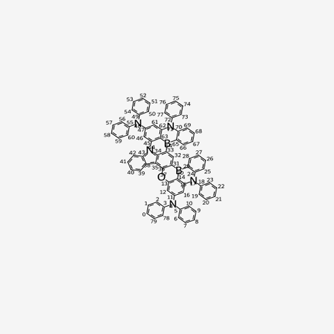 c1ccc(N(c2ccccc2)c2cc3c4c(c2)N(c2ccccc2)c2ccccc2B4c2cc4c5c(c2O3)c2ccccc2n5-c2cc(N(c3ccccc3)c3ccccc3)cc3c2B4c2ccccc2N3c2ccccc2)cc1